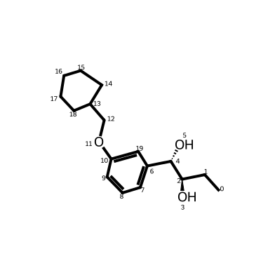 CC[C@@H](O)[C@@H](O)c1cccc(OCC2CCCCC2)c1